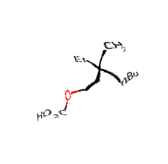 CCCCC(C)(CC)COC(=O)O